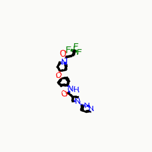 O=C(Nc1ccc(OC2CCN(C(=O)CC(F)(F)F)CC2)cc1)C1CN(c2cccnn2)C1